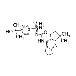 CC(C)(O)c1ccc([S@@](N)(=O)=NC(=O)Nc2c3c(nc4c2CCC4(C)C)CCC3)cn1